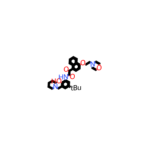 CC(C)(C)c1cc(CN2CCCCC2)c(O)c(NC(=O)C(=O)c2ccc(OCCN3CCOCC3)c3ccccc23)c1